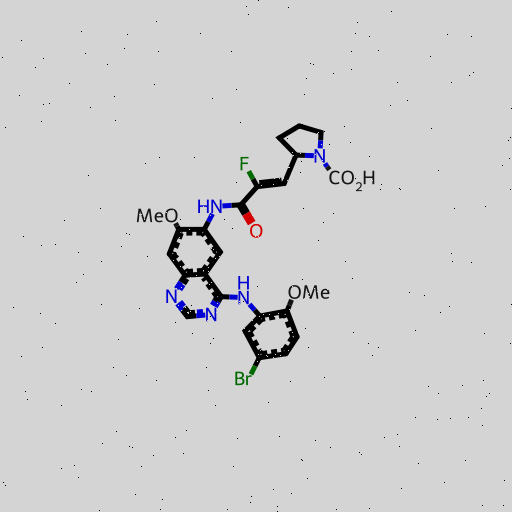 COc1cc2ncnc(Nc3cc(Br)ccc3OC)c2cc1NC(=O)C(F)=CC1CCCN1C(=O)O